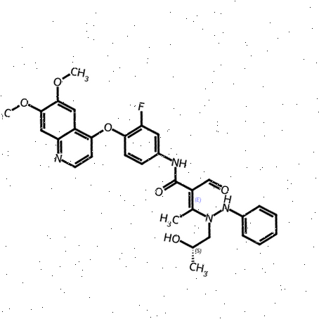 COc1cc2nccc(Oc3ccc(NC(=O)/C(C=O)=C(\C)N(C[C@H](C)O)Nc4ccccc4)cc3F)c2cc1OC